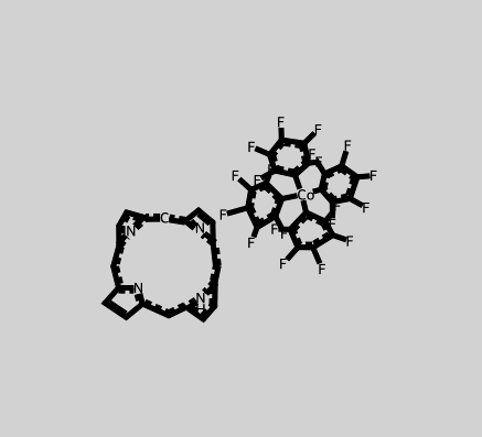 C1=Cc2cc3ccc(cc4nc(cc5ccc(cc1n2)[nH]5)C=C4)[nH]3.Fc1c(F)c(F)[c]([Co]([c]2c(F)c(F)c(F)c(F)c2F)([c]2c(F)c(F)c(F)c(F)c2F)[c]2c(F)c(F)c(F)c(F)c2F)c(F)c1F